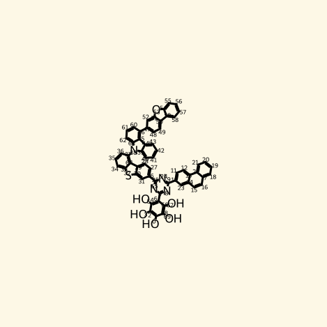 Oc1c(O)c(O)c(-c2nc(-c3ccc4c(ccc5ccccc54)c3)nc(-c3ccc4c(c3)sc3cccc(-n5c6ccccc6c6c(-c7ccc8c(c7)oc7ccccc78)cccc65)c34)n2)c(O)c1O